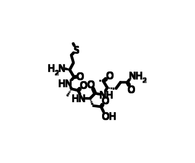 CSCC[C@H](N)C(=O)N[C@@H](C)C(=O)N[C@@H](CC(=O)O)C(=O)N[C@H]([C]=O)CCC(N)=O